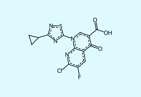 O=C(O)c1cn(-c2nc(C3CC3)ns2)c2nc(Cl)c(F)cc2c1=O